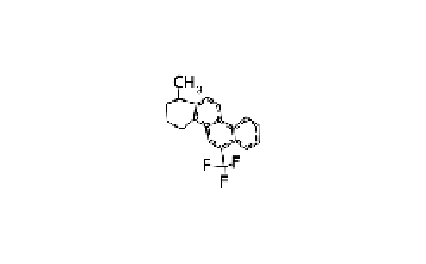 CC1CCCc2c1ccc1c2cc(C(F)(F)F)c2ccccc21